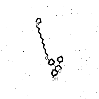 Oc1ccc2c(c1)OC[C@H](c1ccccc1)[C@H]2c1ccc(OCCCCCCCCCCCCN2CCCC2)cc1